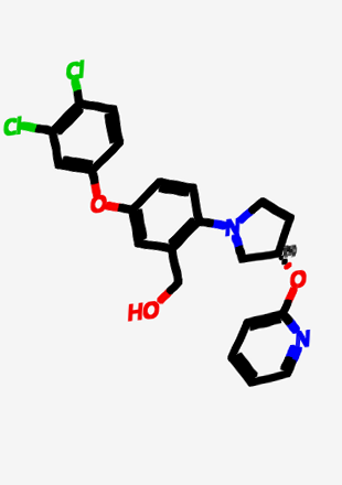 OCc1cc(Oc2ccc(Cl)c(Cl)c2)ccc1N1CC[C@H](Oc2ccccn2)C1